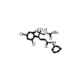 CC(C)(C)C(=O)OCC1(C(=O)O)N=c2cc(Cl)cc(Cl)c2=C1C=CC(=O)Nc1ccccc1